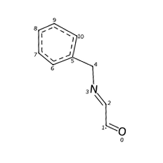 O=[C]C=NCc1ccccc1